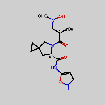 CCCC[C@H](CN(O)C=O)C(=O)N1CC2(CC2)C[C@H]1C(=O)NC1=CCNO1